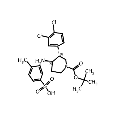 CC(C)(C)OC(=O)N1CC[C@@H](N)[C@H](c2ccc(Cl)c(Cl)c2)C1.Cc1ccc(S(=O)(=O)O)cc1